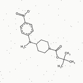 CN(c1ccc([N+](=O)[O-])cc1)C1CCN(C(=O)OC(C)(C)C)CC1